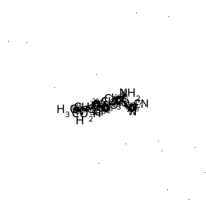 Cc1c(COc2cc(OCc3cncc(C#N)c3)c(CN)cc2Cl)cccc1-c1cccc(OCCCNC(C)(C)C(=O)O)c1Cl